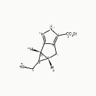 CCOC(=O)c1[nH]nc2c1C[C@@H]1C(CO)[C@H]21